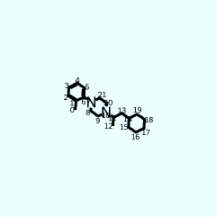 Cc1ccccc1N1CCN(C(C)CC2CCCCC2)CC1